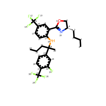 CCCC[C@H]1COC(c2cc(C(F)(F)F)ccc2PC(C)(CCC)c2ccc(C(F)(F)F)c(F)c2)=N1